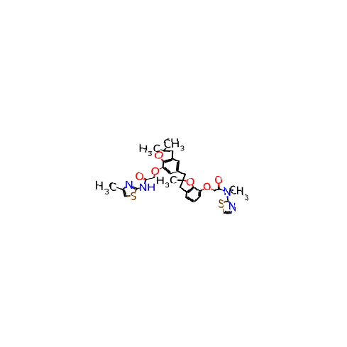 Cc1csc(NC(=O)COc2cc(CC3(C)Cc4cccc(OCC(=O)N(C)c5nccs5)c4O3)cc3c2OC(C)(C)C3)n1